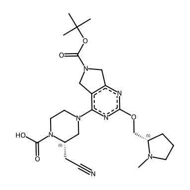 CN1CCC[C@H]1COc1nc2c(c(N3CCN(C(=O)O)[C@@H](CC#N)C3)n1)CN(C(=O)OC(C)(C)C)C2